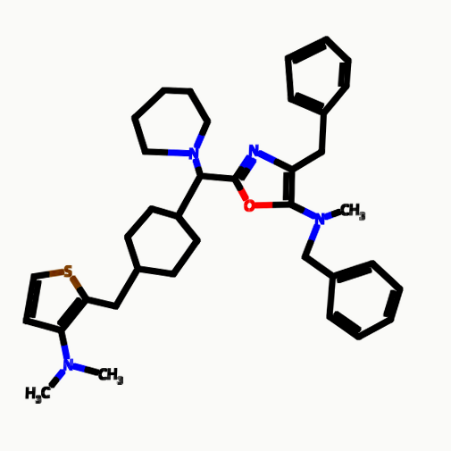 CN(C)c1ccsc1CC1CCC(C(c2nc(Cc3ccccc3)c(N(C)Cc3ccccc3)o2)N2CCCCC2)CC1